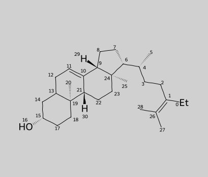 CCC(CC[C@@H](C)[C@H]1CC[C@H]2C3=CCC4C[C@@H](O)CC[C@]4(C)[C@H]3CC[C@]12C)=C(C)C